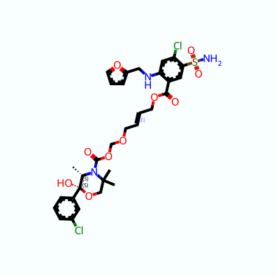 C[C@@H]1N(C(=O)OCOC/C=C/COC(=O)c2cc(S(N)(=O)=O)c(Cl)cc2NCc2ccco2)C(C)(C)CO[C@@]1(O)c1cccc(Cl)c1